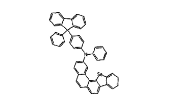 c1ccc(N(c2ccc(C3(c4ccccc4)c4ccccc4-c4ccccc43)cc2)c2ccc3ccc4ccc5c6ccccc6[se]c5c4c3c2)cc1